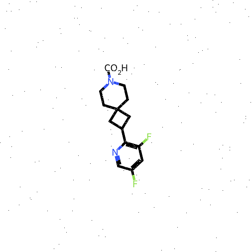 O=C(O)N1CCC2(CC1)CC(c1ncc(F)cc1F)C2